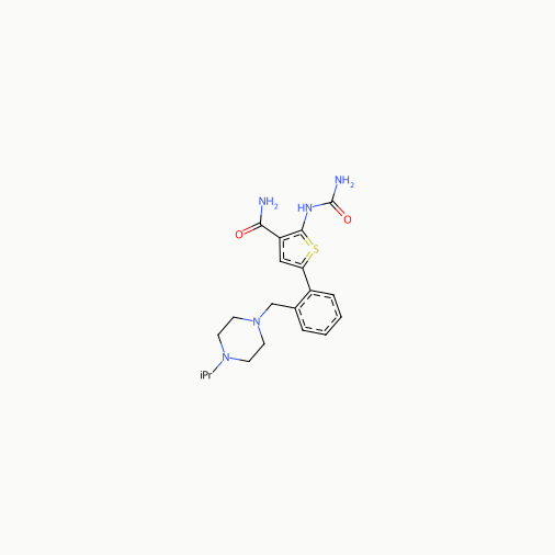 CC(C)N1CCN(Cc2ccccc2-c2cc(C(N)=O)c(NC(N)=O)s2)CC1